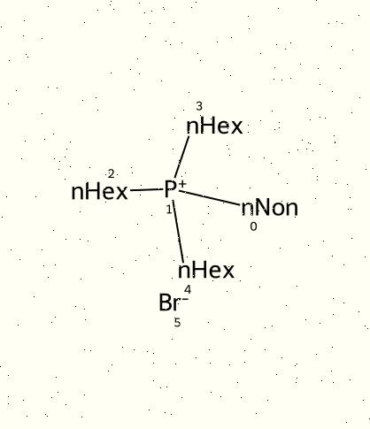 CCCCCCCCC[P+](CCCCCC)(CCCCCC)CCCCCC.[Br-]